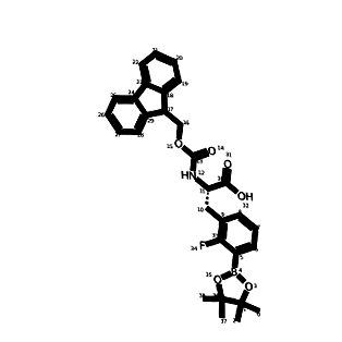 CC1(C)OB(c2cccc(C[C@H](NC(=O)OCC3c4ccccc4-c4ccccc43)C(=O)O)c2F)OC1(C)C